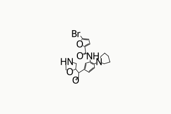 O=CC(c1ccc(N2CCCCC2)c(NC(=O)c2ccc(Br)o2)c1)C1CNCCO1